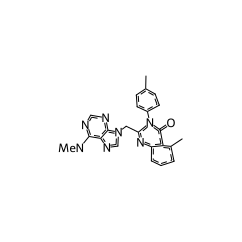 CNc1ncnc2c1ncn2Cc1nc2cccc(C)c2c(=O)n1-c1ccc(C)cc1